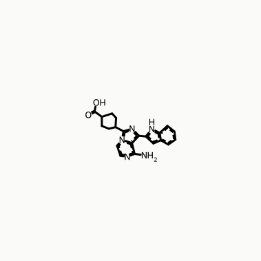 Nc1nccn2c(C3CCC(C(=O)O)CC3)nc(-c3cc4ccccc4[nH]3)c12